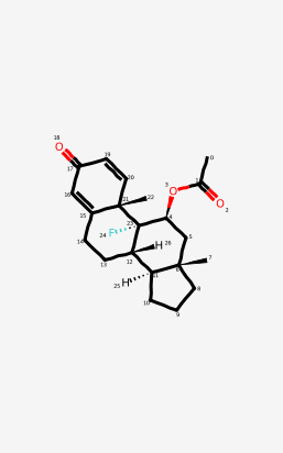 CC(=O)O[C@H]1C[C@]2(C)CCC[C@H]2[C@@H]2CCC3=CC(=O)C=C[C@]3(C)[C@@]12F